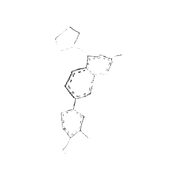 Cc1cc(N2CCCC2)c2ccc(-c3ccc(Cl)c(Cl)c3)cc2n1